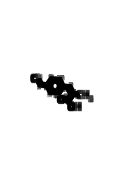 CC(=Cc1ccc(CCl)cc1)C(=O)O